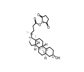 C[C@H](CCC(=O)ON1C(=O)CCC1=O)[C@H]1CC[C@H]2[C@@H]3CC[C@@H]4C[C@H](O)CC[C@]4(C)[C@H]3CC[C@]12C